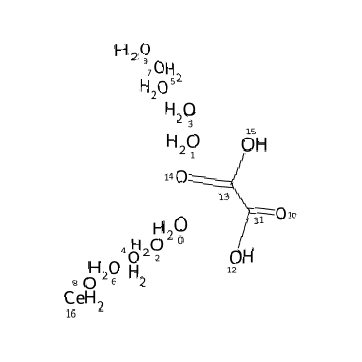 O.O.O.O.O.O.O.O.O.O.O=C(O)C(=O)O.[Ce]